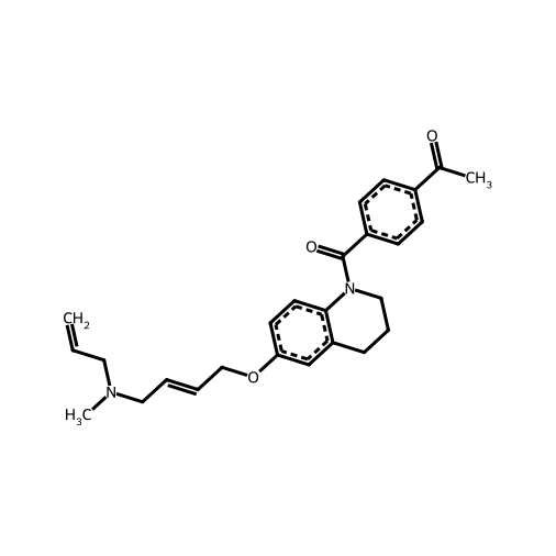 C=CCN(C)CC=CCOc1ccc2c(c1)CCCN2C(=O)c1ccc(C(C)=O)cc1